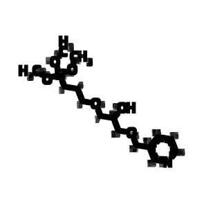 CO[Si](CCCOCC(O)COCc1cccnc1)(OC)OC